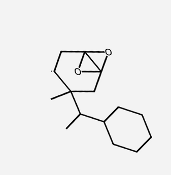 CC(C1CCCCC1)C1(C)[CH]CC23OC2(C1)O3